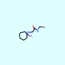 CC(=O)CNC(=O)CNC1(P)CCCCCC1